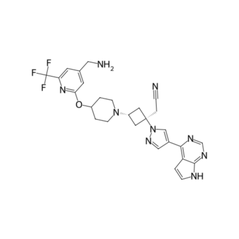 N#CC[C@]1(n2cc(-c3ncnc4[nH]ccc34)cn2)C[C@H](N2CCC(Oc3cc(CN)cc(C(F)(F)F)n3)CC2)C1